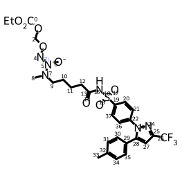 CCOC(=O)OCO/N=[N+](\[O-])N(C)CCCCC(=O)NS(=O)(=O)c1ccc(-n2nc(C(F)(F)F)cc2-c2ccc(C)cc2)cc1